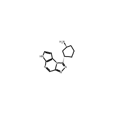 N[C@H]1CCC[C@H](c2nnc3cnc4[nH]ccc4n23)C1